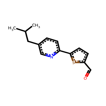 CC(C)Cc1ccc(-c2ccc(C=O)s2)nc1